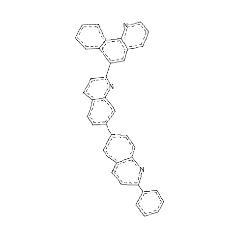 c1ccc(-c2ccc3cc(-c4ccc5ccc(-c6cc7cccnc7c7ccccc67)nc5c4)ccc3n2)cc1